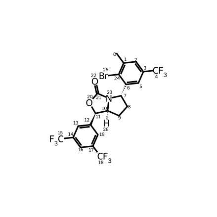 Cc1cc(C(F)(F)F)cc([C@@H]2CC[C@H]3[C@@H](c4cc(C(F)(F)F)cc(C(F)(F)F)c4)OC(=O)N23)c1Br